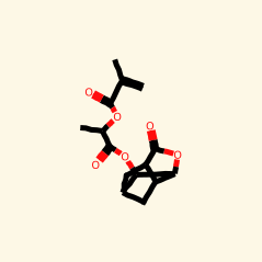 C=C(C)C(=O)OC(C)C(=O)OC1C2CC3C(=O)OC1C3C2